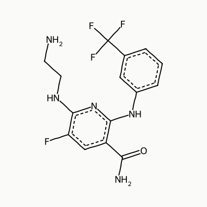 NCCNc1nc(Nc2cccc(C(F)(F)F)c2)c(C(N)=O)cc1F